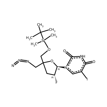 CC(C)(C)[Si](C)(C)OCC1(CN=[N+]=[N-])C[C@@H](F)[C@H](n2cc(I)c(=O)[nH]c2=O)O1